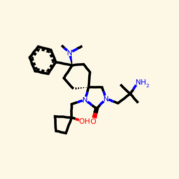 CN(C)[C@]1(c2ccccc2)CC[C@]2(CC1)CN(CC(C)(C)N)C(=O)N2CC1(O)CCC1